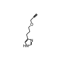 C#CCOCCCc1c[nH]cn1